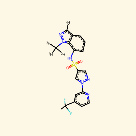 [2H]c1nn(C([2H])([2H])[2H])c2c(NS(=O)(=O)c3cnn(-c4cc(C(C)(F)F)ccn4)c3)cccc12